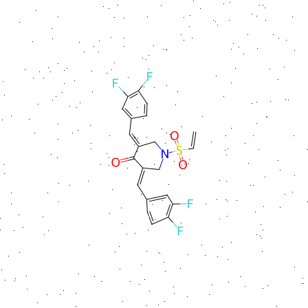 C=CS(=O)(=O)N1C/C(=C\c2ccc(F)c(F)c2)C(=O)/C(=C/c2ccc(F)c(F)c2)C1